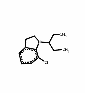 CCC(CC)N1CCc2cccc(Cl)c21